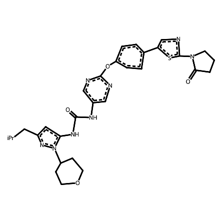 CC(C)Cc1cc(NC(=O)Nc2cnc(Oc3ccc(-c4cnc(N5CCCC5=O)s4)cc3)nc2)n(C2CCOCC2)n1